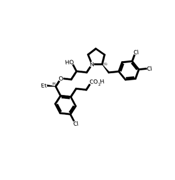 CC[C@@H](OCC(O)CN1CCC[C@H]1Cc1ccc(Cl)c(Cl)c1)c1ccc(Cl)cc1CCC(=O)O